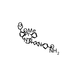 COc1cc(CN2CCN(C3CC4(C3)CN(c3ccc(C(N)=O)cc3)C4)[C@H](c3ccccc3C(C)C)C2)ccc1C1CCOCC1